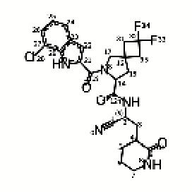 N#C[C@H](CC1CCCNC1=O)NC(=O)C1CC2(CN1C(=O)c1cc3cccc(Cl)c3[nH]1)CC(F)(F)C2